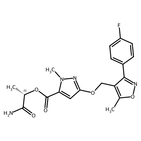 Cc1onc(-c2ccc(F)cc2)c1COc1cc(C(=O)O[C@@H](C)C(N)=O)n(C)n1